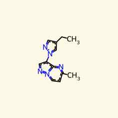 CCc1cnn(-c2cnn3ccc(C)nc23)c1